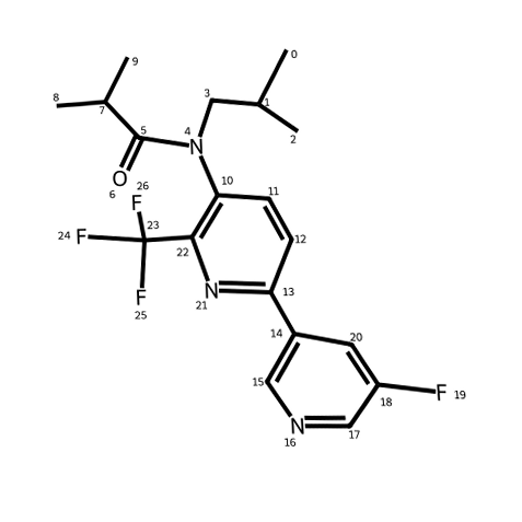 CC(C)CN(C(=O)C(C)C)c1ccc(-c2cncc(F)c2)nc1C(F)(F)F